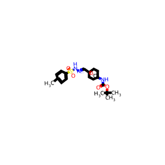 Cc1ccc(S(=O)(=O)N/N=C/C23CCC(NC(=O)OC(C)(C)C)(CC2)CO3)cc1